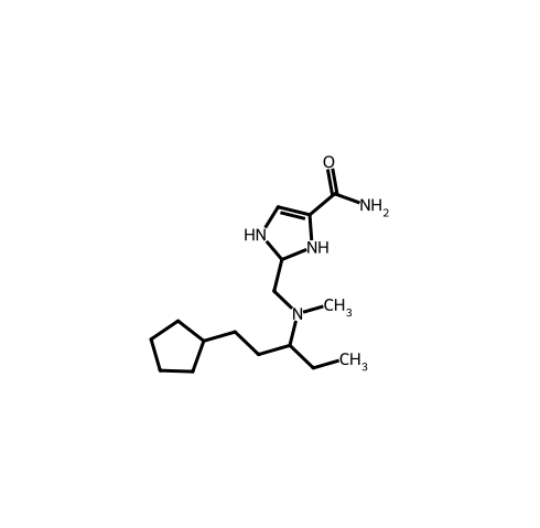 CCC(CCC1CCCC1)N(C)CC1NC=C(C(N)=O)N1